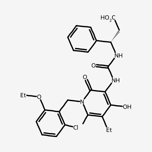 CCOc1cccc(Cl)c1Cn1c(C)c(CC)c(O)c(NC(=O)N[C@@H](CC(=O)O)c2ccccc2)c1=O